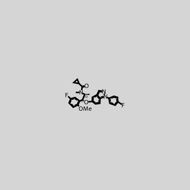 COc1ccc(F)cc1[C@@H](Oc1ccc2c(cnn2-c2ccc(F)cc2)c1)[C@H](C)N(C)C(=O)C1CC1